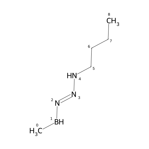 CB/N=N/NCCCC